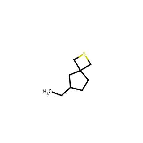 CCC1CCC2(CSC2)C1